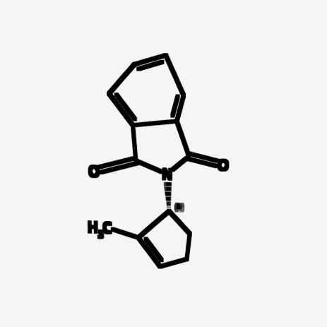 CC1=CCC[C@H]1N1C(=O)c2ccccc2C1=O